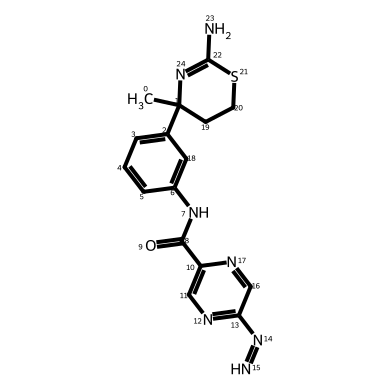 CC1(c2cccc(NC(=O)c3cnc(N=N)cn3)c2)CCSC(N)=N1